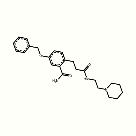 NC(=O)c1cc(OCc2ccccc2)ccc1C[CH]C(=O)NCCN1CCCCC1